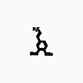 C[C]=Cc1ccc(OC)c(OC)c1